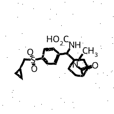 CN1C(=O)C2CCC1(C(NC(=O)O)c1ccc(S(=O)(=O)CC3CC3)cc1)CC2